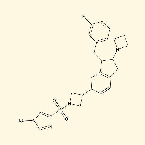 Cn1cnc(S(=O)(=O)N2CC(c3ccc4c(c3)C(Cc3cccc(F)c3)C(N3CCC3)C4)C2)c1